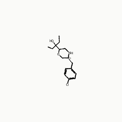 CCC(O)(CC)C1CN[C@@H](Cc2ccc(Cl)cc2)CO1